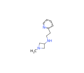 CN1CC(NCCc2ccccn2)C1